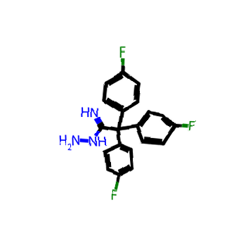 N=C(NN)C(c1ccc(F)cc1)(c1ccc(F)cc1)c1ccc(F)cc1